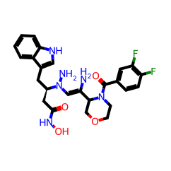 N/C(=C\N(N)[C@@H](CC(=O)NO)Cc1c[nH]c2ccccc12)C1COCCN1C(=O)c1ccc(F)c(F)c1